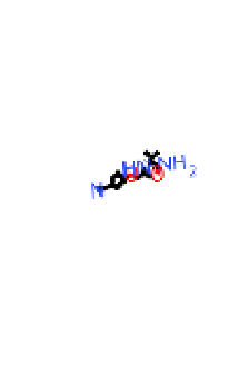 CC(COc1ccc(C#N)cc1)N[C@H](C(N)=O)C(C)C